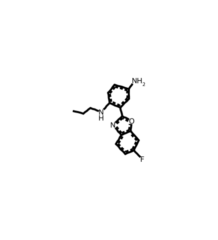 CCCNc1ccc(N)cc1-c1nc2ccc(F)cc2o1